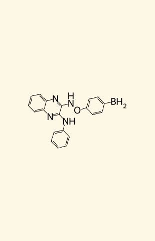 Bc1ccc(ONc2nc3ccccc3nc2Nc2ccccc2)cc1